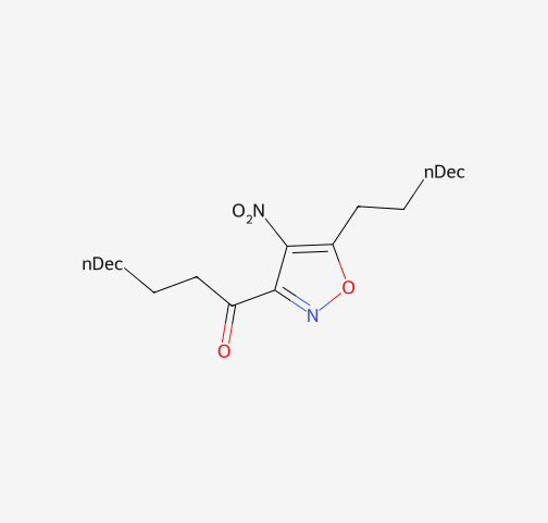 CCCCCCCCCCCCC(=O)c1noc(CCCCCCCCCCCC)c1[N+](=O)[O-]